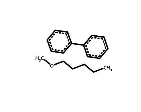 CCCCCOC.c1ccc(-c2ccccc2)cc1